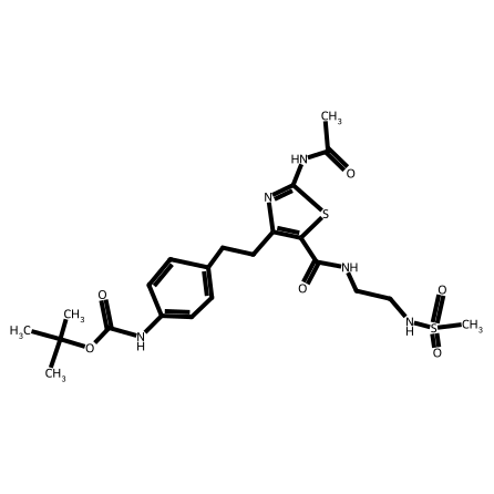 CC(=O)Nc1nc(CCc2ccc(NC(=O)OC(C)(C)C)cc2)c(C(=O)NCCNS(C)(=O)=O)s1